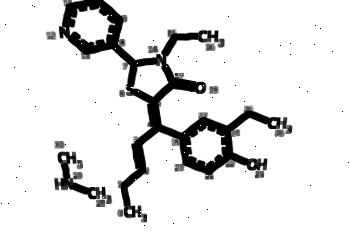 CCC=CC(=C1SC(c2cccnc2)N(CC)C1=O)c1ccc(O)c(CC)c1.CNC